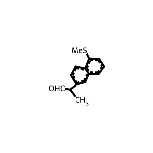 CSc1cccc2cc(C(C)C=O)ccc12